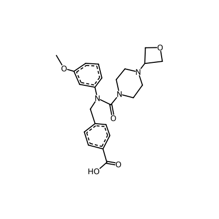 COc1cccc(N(Cc2ccc(C(=O)O)cc2)C(=O)N2CCN(C3COC3)CC2)c1